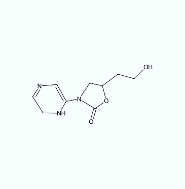 O=C1OC(CCO)CN1C1=CN=CCN1